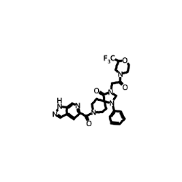 O=C(CN1CN(c2ccccc2)C2(CCN(C(=O)c3cc4cn[nH]c4cn3)CC2)C1=O)N1CCOC(C(F)(F)F)C1